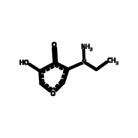 CCN(N)c1cocc(O)c1=O